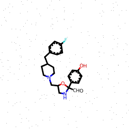 O=CC1(c2ccc(O)cc2)NCC(CN2CCC(Cc3ccc(F)cc3)CC2)O1